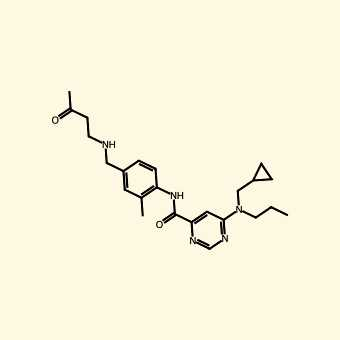 CCCN(CC1CC1)c1cc(C(=O)Nc2ccc(CNCCC(C)=O)cc2C)ncn1